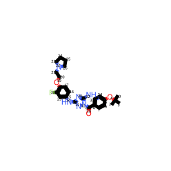 CC(C)(C)Oc1ccc(C(=O)n2nc(Nc3ccc(OCCN4CCCC4)c(F)c3)nc2N)cc1